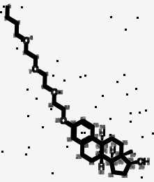 CCCCOCCOCCOCCOc1ccc2c(c1)CC[C@@H]1[C@@H]2CC[C@]2(C)[C@@H](O)CC[C@@H]12